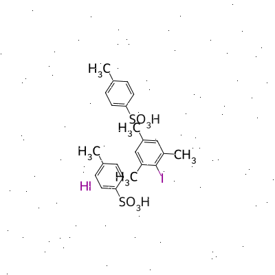 Cc1cc(C)c(I)c(C)c1.Cc1ccc(S(=O)(=O)O)cc1.Cc1ccc(S(=O)(=O)O)cc1.I